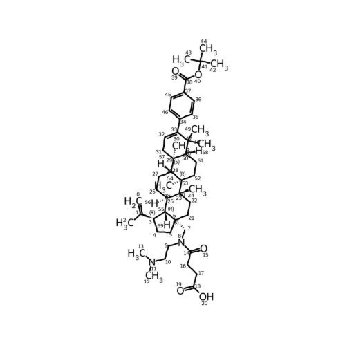 C=C(C)[C@@H]1CC[C@]2(CN(CCN(C)C)C(=O)CCC(=O)O)CC[C@]3(C)[C@H](CC[C@@H]4[C@@]5(C)CC=C(c6ccc(C(=O)OC(C)(C)C)cc6)C(C)(C)[C@@H]5CC[C@]43C)[C@@H]12